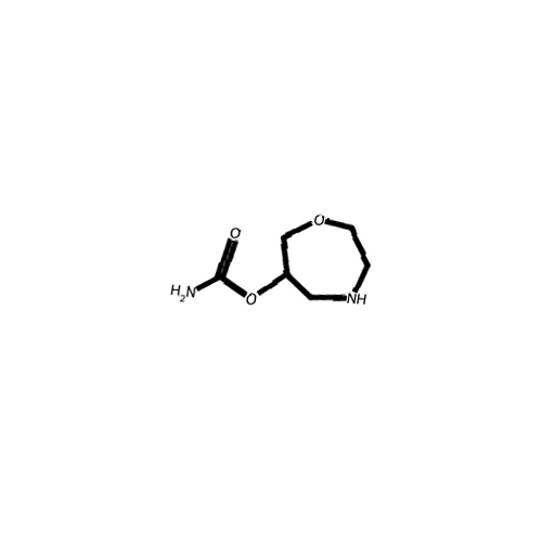 NC(=O)OC1CNCCOC1